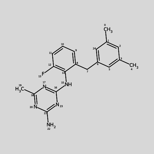 Cc1cc(C)cc(Cc2cccc(F)c2Nc2nc(C)nc(N)n2)c1